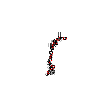 O=C1CC[C@H](N2C(=O)c3cccc(OCC(=O)N4CCC5(CC4)CC(N4CCC(c6ccc(Nc7ncnc8c7ncn8C7CC(NC(=O)Cc8ccccc8)C7)cc6)CC4)C5)c3C2=O)C(=O)N1